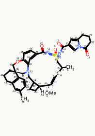 CO[C@H]1/C=C/C[C@H](C)C[S@@](=O)(NC(=O)c2cc3n(c2)C(=O)CCC3)=NC(=O)c2ccc3c(c2)N(C[C@@H]2CC[C@H]21)C[C@@]1(CCCc2cc(C)ccc21)CO3